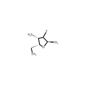 CC[C@H]1O[C@H](C)C(F)[C@H]1C